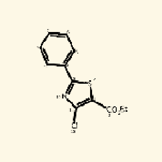 CCOC(=O)c1sc(-c2ccccc2)nc1Cl